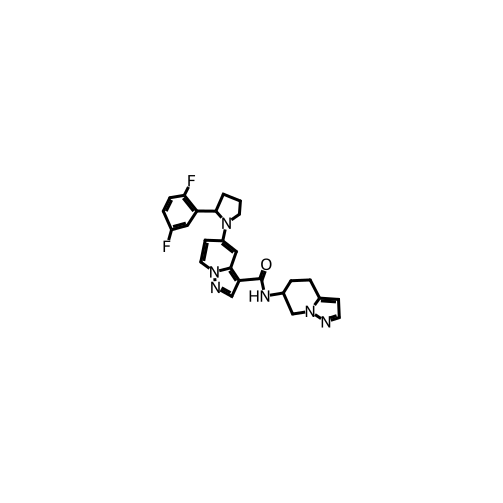 O=C(NC1CCc2ccnn2C1)c1cnn2ccc(N3CCCC3c3cc(F)ccc3F)cc12